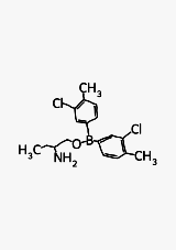 CCC(N)COB(c1ccc(C)c(Cl)c1)c1ccc(C)c(Cl)c1